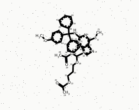 COc1ccc(C(Nc2nc(SC)c3ncn(C(OCCCOC(C)=O)OC(C)=O)c3n2)(c2ccccc2)c2ccccc2)cc1